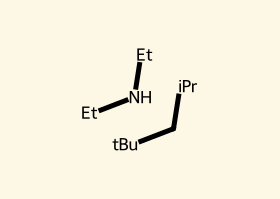 CC(C)CC(C)(C)C.CCNCC